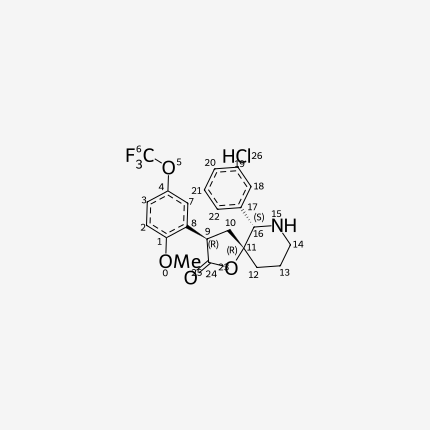 COc1ccc(OC(F)(F)F)cc1[C@H]1C[C@@]2(CCCN[C@H]2c2ccccc2)OC1=O.Cl